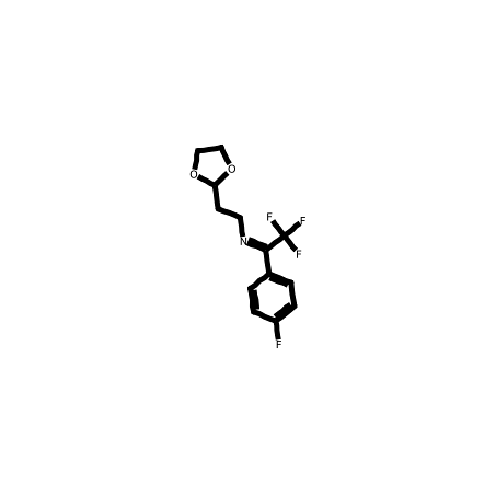 Fc1ccc(C(=NCCC2OCCO2)C(F)(F)F)cc1